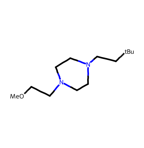 COCCN1CCN(CCC(C)(C)C)CC1